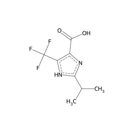 CC(C)c1nc(C(=O)O)c(C(F)(F)F)[nH]1